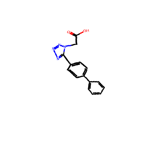 O=C(O)Cn1nnnc1-c1ccc(-c2ccccc2)cc1